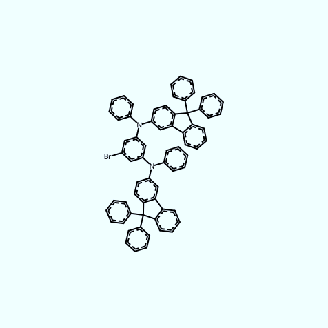 Brc1cc(N(c2ccccc2)c2ccc3c(c2)-c2ccccc2C3(c2ccccc2)c2ccccc2)cc(N(c2ccccc2)c2ccc3c(c2)-c2ccccc2C3(c2ccccc2)c2ccccc2)c1